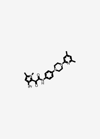 Cc1cc(C)nc(N2CCN(c3ccc(NC(=O)C(=O)c4c(C(C)C)cc(C)n4C)cc3)CC2)c1